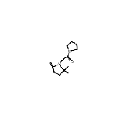 C=C1CCC(C)(C)N1CC(=O)N1CCCC1